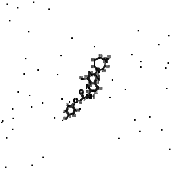 Cc1ccc(OCC(=O)Nc2ccc3nc(N4CCCN(C)CC4)nc(C)c3n2)cc1